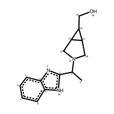 CC(c1nc2ccccc2[nH]1)N1CC2C(CO)C2C1